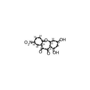 O=c1c(=O)c2c(O)cc(O)cc2oc2ccc([N+](=O)[O-])cc12